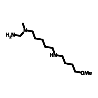 COCCCCNCCCCCN(C)CN